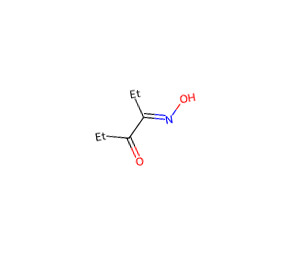 CCC(=O)/C(CC)=N/O